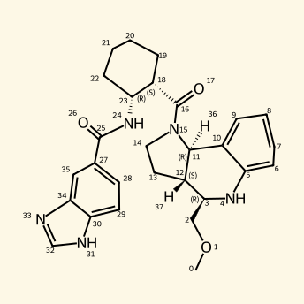 COC[C@@H]1Nc2ccccc2[C@H]2[C@H]1CCN2C(=O)[C@H]1CCCC[C@H]1NC(=O)c1ccc2[nH]cnc2c1